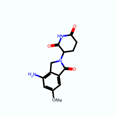 COc1cc(N)c2c(c1)C(=O)N(C1CCC(=O)NC1=O)C2